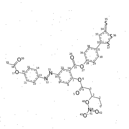 CCC(CC(=O)Oc1ccc(/N=N/c2ccc(OC(C)=O)cc2)cc1C(=O)Oc1ccc(-c2cc(=S)ss2)cc1)O[N+](=O)[O-]